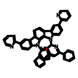 C1=C(c2ccccc2)NC(n2c3ccc(-c4ccccn4)cc3c3ccc4c5cc(-c6ccccn6)ccc5n(-c5ccccc5)c4c32)N=C1c1ccccc1